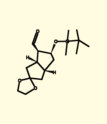 CC(C)(C)[Si](C)(C)O[C@@H]1C[C@H]2CC3(C[C@H]2[C@H]1C=O)OCCO3